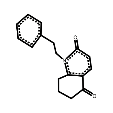 O=C1CCCc2c1ccc(=O)n2CCc1ccccc1